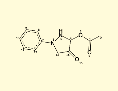 CC(=O)OC1NN(c2ccccc2)CC1=O